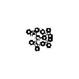 c1ccc([Si](c2ccccc2)(c2ccccc2)c2cc(-c3cc(-n4c5ccccc5n5c6ccccc6nc45)nc(-n4c5ccccc5n5c6ccccc6nc45)n3)cc([Si](c3ccccc3)(c3ccccc3)c3ccccc3)c2)cc1